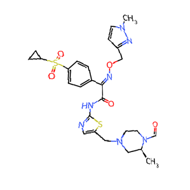 C[C@H]1CN(Cc2cnc(NC(=O)/C(=N/OCc3ccn(C)n3)c3ccc(S(=O)(=O)C4CC4)cc3)s2)CCN1C=O